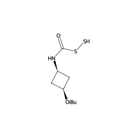 CC(C)CO[C@H]1C[C@@H](NC(=O)SS)C1